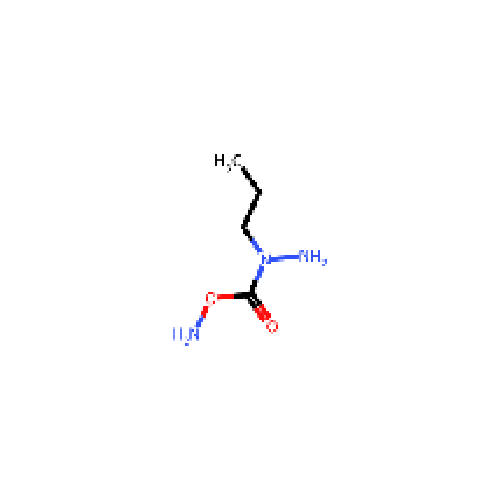 CCCN(N)C(=O)ON